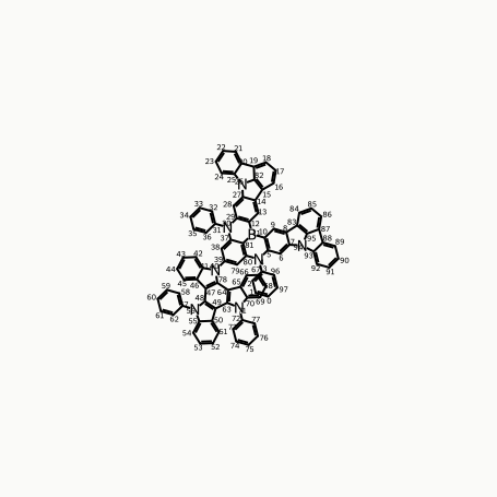 c1ccc(N2c3cc4c(cc3B3c5cc6c7cccc8c9ccccc9n(c6cc5N(c5ccccc5)c5cc(-n6c9ccccc9c9c%10c(c%11ccccc%11n%10-c%10ccccc%10)c%10c(c%11ccccc%11n%10-c%10ccccc%10)c96)cc2c53)c87)c2cccc3c5ccccc5n4c32)cc1